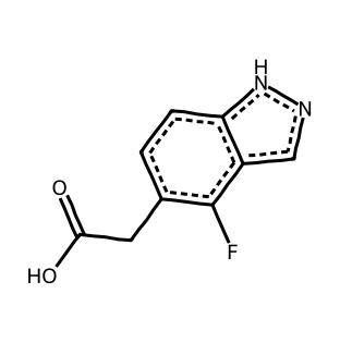 O=C(O)Cc1ccc2[nH]ncc2c1F